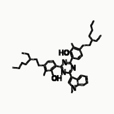 CCCCC(CC)CCc1ccc(-c2nc(-c3ccc(CCC(CC)CCCC)c(C)c3O)nc(-c3cn(C)c4ccccc34)n2)c(O)c1C